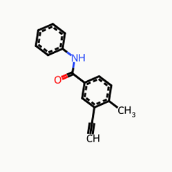 C#Cc1cc(C(=O)Nc2ccccc2)ccc1C